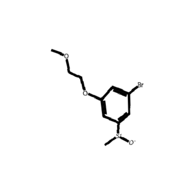 COCCOc1cc(Br)cc([S+](C)[O-])c1